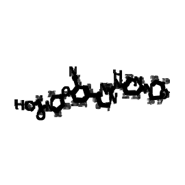 N#Cc1cc(-c2ccnc(Nc3ccc(N4CCOCC4)nc3)n2)ccc1OC1CCN(C(=O)CO)C1